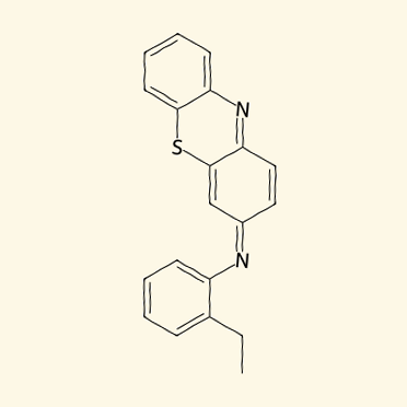 CCc1ccccc1N=c1ccc2nc3ccccc3sc-2c1